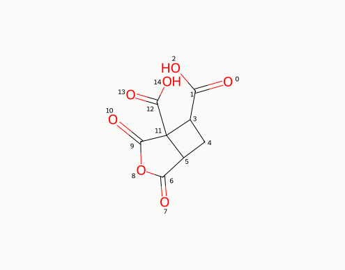 O=C(O)C1CC2C(=O)OC(=O)C12C(=O)O